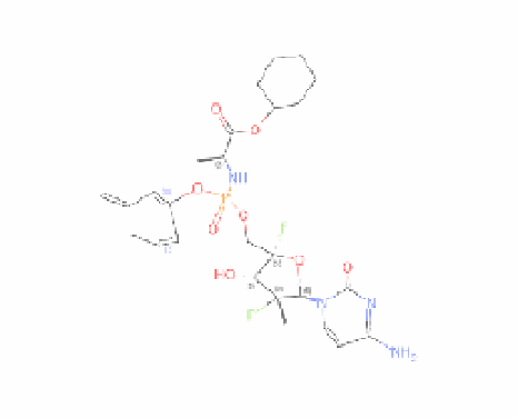 C=C/C=C(\C=C/C)OP(=O)(N[C@@H](C)C(=O)OC1CCCCC1)OC[C@@]1(F)O[C@@H](n2ccc(N)nc2=O)[C@](C)(F)[C@@H]1O